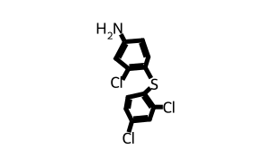 Nc1ccc(Sc2ccc(Cl)cc2Cl)c(Cl)c1